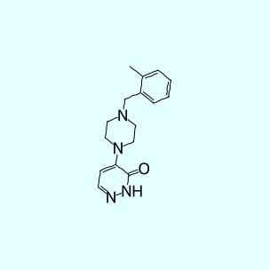 Cc1ccccc1CN1CCN(c2ccn[nH]c2=O)CC1